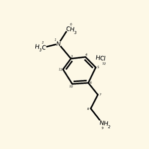 CN(C)c1ccc(CCN)cc1.Cl